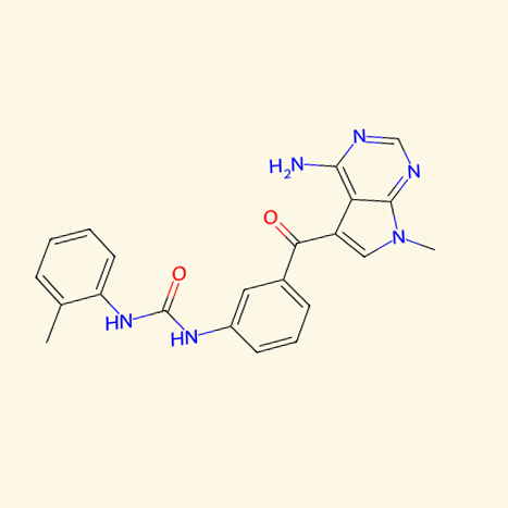 Cc1ccccc1NC(=O)Nc1cccc(C(=O)c2cn(C)c3ncnc(N)c23)c1